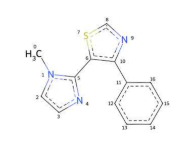 Cn1ccnc1-c1s[c]nc1-c1ccccc1